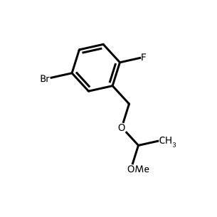 COC(C)OCc1cc(Br)ccc1F